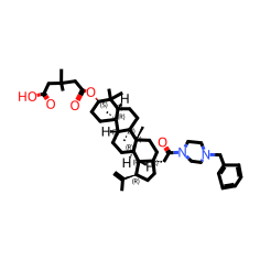 C=C(C)[C@@H]1CC[C@]2(CC(=O)N3CCN(Cc4ccccc4)CC3)CC[C@]3(C)[C@H](CC[C@@H]4[C@@]5(C)CC[C@H](OC(=O)CC(C)(C)CC(=O)O)C(C)(C)[C@@H]5CC[C@]43C)[C@@H]12